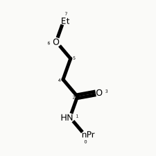 CCCNC(=O)CCOCC